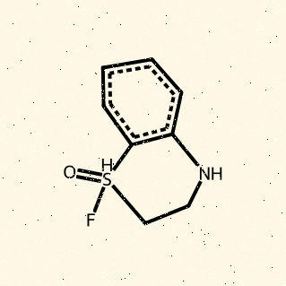 O=[SH]1(F)CCNc2ccccc21